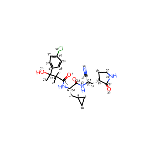 CC(C)(C(=O)N[C@@H](CC1CC1)C(=O)N[C@H](C#N)C[C@@H]1CCNC1=O)C(C)(O)c1ccc(Cl)cc1